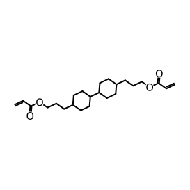 C=CC(=O)OCCCC1CCC(C2CCC(CCCOC(=O)C=C)CC2)CC1